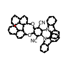 N#Cc1c(-n2c3ccccc3c3ccccc32)c(-n2c3ccccc3c3ccccc32)c(C#N)c2oc3ccc4ccccc4c3c3c(ccc4ccccc43)oc12